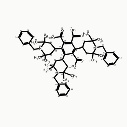 CC1(C)CC(c2c(C(=O)O)c(C(=O)O)c(C3CC(C)(C)N(Cc4ccccc4)C(C)(C)C3)c(C3CC(C)(C)N(Cc4ccccc4)C(C)(C)C3)c2C(=O)O)CC(C)(C)N1Cc1ccccc1